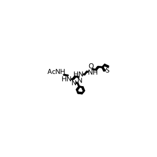 CC(=O)NCCNc1cc(NCCNC(=O)C=Cc2ccsc2)nc(-c2ccccc2)n1